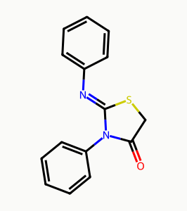 O=C1CSC(=Nc2ccccc2)N1c1ccccc1